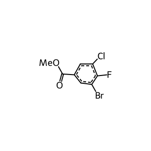 COC(=O)c1cc(Cl)c(F)c(Br)c1